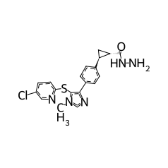 Cn1cnc(-c2ccc([C@H]3C[C@@H]3C(=O)NN)cc2)c1Sc1ccc(Cl)cn1